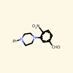 CC(C)N1CCN(c2cc(C=O)ccc2[N+](=O)[O-])CC1